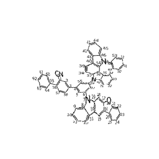 N#Cc1cc(-c2cc(-n3c4ccccc4c4cc5c(cc43)oc3ccccc35)cc(-n3c4ccccc4c4c3ccc3c5ccccc5n(-c5ccccc5)c34)c2)ccc1-c1ccccc1